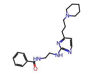 O=C(NCCNc1nccc(CCCN2CCCCC2)n1)c1ccccc1